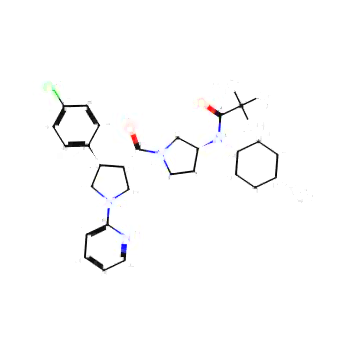 CC(C)(C)C(=O)N([C@H]1CCN(C(=O)[C@@H]2CN(c3ccccn3)C[C@H]2c2ccc(Cl)cc2)C1)[C@H]1CC[C@@H](C)CC1